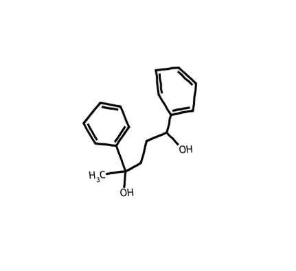 CC(O)(CCC(O)c1ccccc1)c1ccccc1